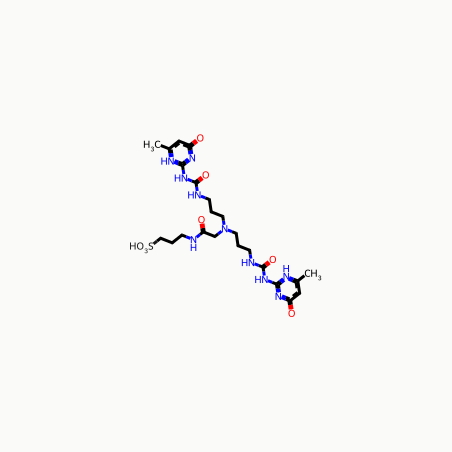 Cc1cc(=O)nc(NC(=O)NCCCN(CCCNC(=O)Nc2nc(=O)cc(C)[nH]2)CC(=O)NCCCS(=O)(=O)O)[nH]1